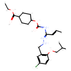 C/C=C/C(=N\NCc1cc(Cl)ccc1OCC(C)C)NC(=O)OC1CCC(C(=O)OCC)CC1